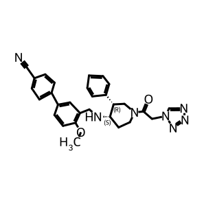 COc1ccc(-c2ccc(C#N)cc2)cc1CN[C@H]1CCN(C(=O)Cn2cnnn2)C[C@H]1c1ccccc1